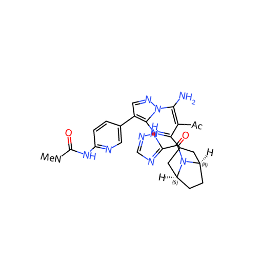 CNC(=O)Nc1ccc(-c2cnn3c(N)c(C(C)=O)c(C4C[C@H]5CC[C@@H](C4)N5C(=O)c4ncn[nH]4)nc23)cn1